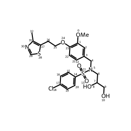 COc1cc(CN(CC(O)CO)S(=O)(=O)c2ccc(Cl)cc2)ccc1OCCc1scnc1C